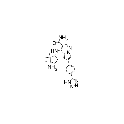 CC1(C)[C@H](Nc2c(C(N)=O)cnn3cc(-c4ccc(-c5nnn[nH]5)cc4)cc23)CC[C@]1(C)N